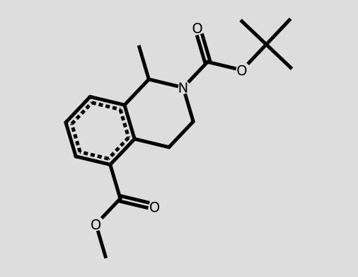 COC(=O)c1cccc2c1CCN(C(=O)OC(C)(C)C)C2C